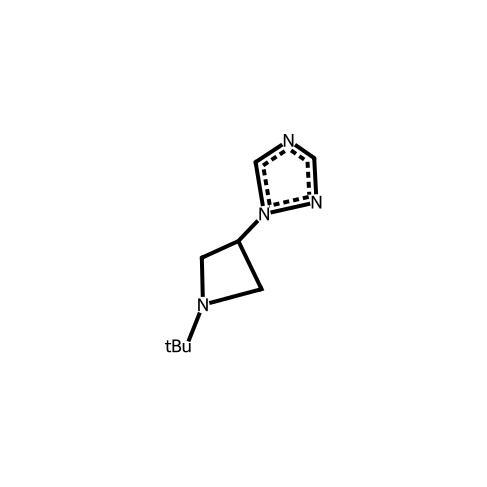 CC(C)(C)N1CC(n2cncn2)C1